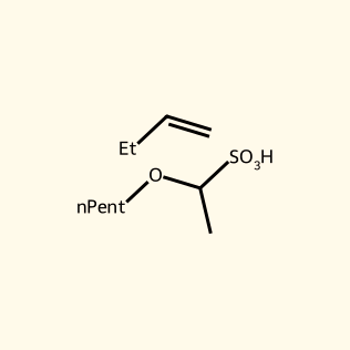 C=CCC.CCCCCOC(C)S(=O)(=O)O